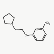 O=[N+]([O-])c1cccc(OCCN2CCCC2)c1